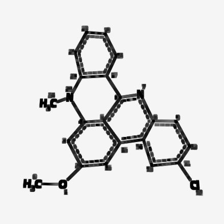 COc1cc2c3c(nc4ccc(Cl)cc4c3c1)-c1ccccc1N2C